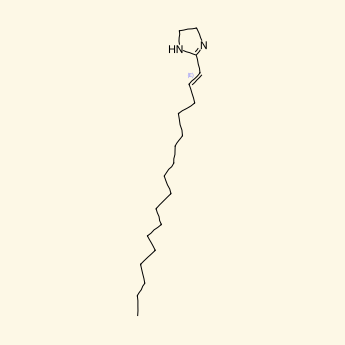 CCCCCCCCCCCCCCC/C=C/C1=NCCN1